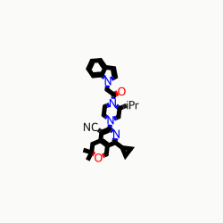 CC(C)C1CN(c2nc(C3CC3)c3c(c2C#N)CC(C)(C)OC3)CCN1C(=O)Cn1ccc2ccccc21